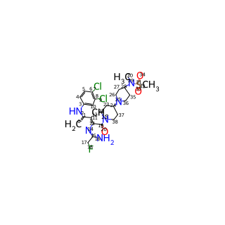 C=C(Nc1ccc(Cl)c(Cl)c1)/C(C)=C(\N=C(/N)CF)C(=O)N1CCC(N2CCC(N(C)S(C)(=O)=O)CC2)CC1